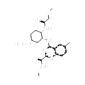 COCC(=N)N[C@@H]1CCCC[C@@H]1Nc1nc(C(=O)NOC)nc2ccc(C)cc12.Cl.Cl